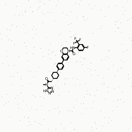 CN(C(=O)C[C@H]1CC[C@H](c2ccc(-c3ccc4c(c3)OCCN4C(=O)Nc3ccc(F)cc3C(F)(F)F)cc2)CC1)c1nnn[nH]1